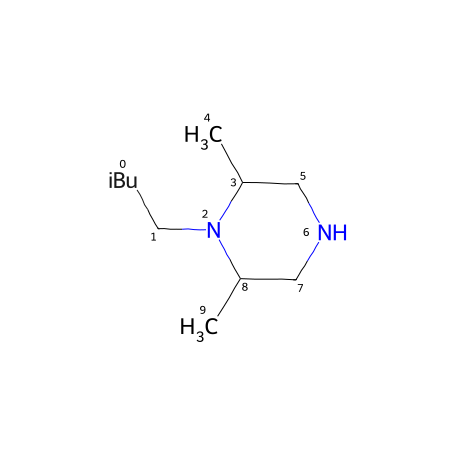 CCC(C)CN1C(C)CNCC1C